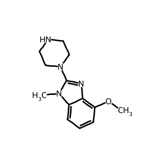 COc1cccc2c1nc(N1CCNCC1)n2C